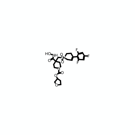 O=C(OC1CCOC1)N1CCC(CS(=O)(=O)N2CC=C(c3c(F)cc(F)cc3F)CC2)(C(=O)NO)CC1